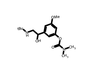 COc1cc(OC(=O)N(C)C)cc(C(O)CNC(C)(C)C)c1